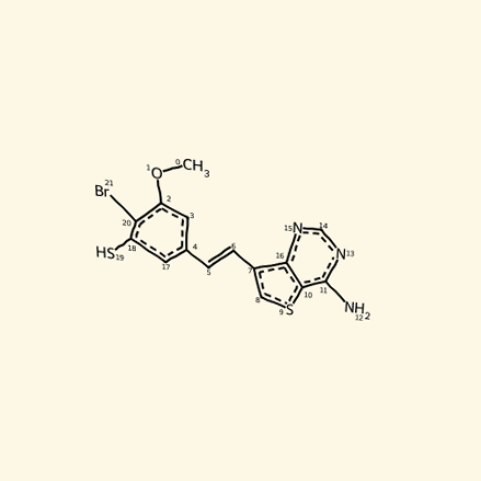 COc1cc(/C=C/c2csc3c(N)ncnc23)cc(S)c1Br